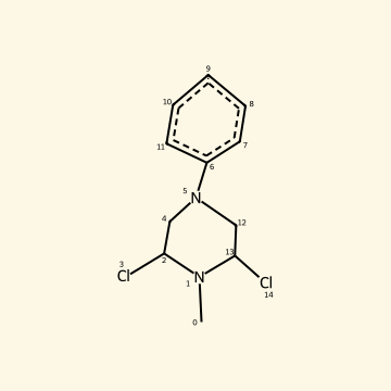 CN1C(Cl)CN(c2cc[c]cc2)CC1Cl